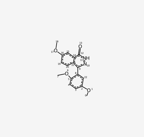 COc1ccc(OC)c(-c2n[nH]c(=O)c3cc(OC)ccc23)c1